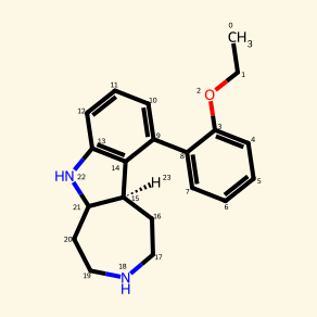 CCOc1ccccc1-c1cccc2c1[C@H]1CCNCCC1N2